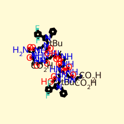 C[C@H](NC(=O)CC[C@H](N)C(=O)N[C@@H](C)C(=O)N[C@@H](CC(=O)O)C(=O)N[C@@H](CC(N)=O)C(=O)NCCCN(C(=O)CO)[C@@H](c1cc(-c2cc(F)ccc2F)cn1Cc1ccccc1)C(C)(C)C)C(=O)N[C@@H](C)C(=O)N[C@@H](CC(N)=O)C(=O)N[C@@H](CCN(C(=O)CO)[C@@H](c1cc(-c2cc(F)ccc2F)cn1Cc1ccccc1)C(C)(C)C)C(=O)NCCC(=O)N[C@H](CCC(=O)O)C(=O)O